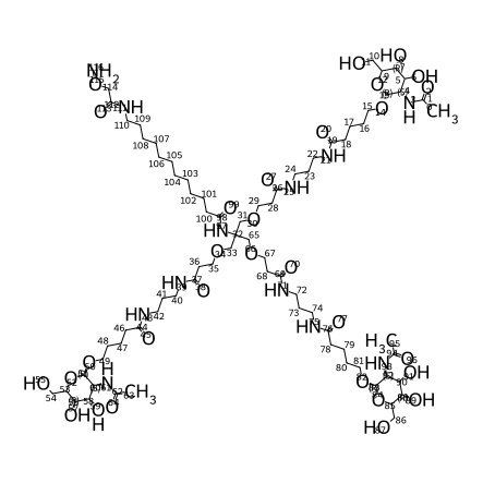 CC(=O)N[C@H]1C(O)[C@@H](O)C(CO)O[C@H]1OCCCCC(=O)NCCCNC(=O)CCOCC(COCCC(=O)NCCCNC(=O)CCCCO[C@@H]1OC(CO)[C@H](O)C(O)[C@@H]1NC(C)=O)(COCCC(=O)NCCCNC(=O)CCCCO[C@@H]1OC(CO)[C@H](O)C(O)[C@@H]1NC(C)=O)NC(=O)CCCCCCCCCCCNC(=O)CON